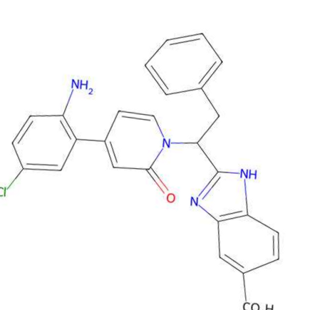 Nc1ccc(Cl)cc1-c1ccn(C(Cc2ccccc2)c2nc3cc(C(=O)O)ccc3[nH]2)c(=O)c1